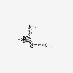 CC#CC#CC#CC(=O)OC[C@@H](COP(=O)(O)O)OC(=O)CCCCCCC